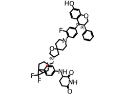 O=C1CCC(Nc2ccc(C34CCN(C[C@@H]5COC6(CCN(c7ccc([C@H]8c9ccc(O)cc9OC[C@H]8c8ccccc8)cc7F)CC6)C5)CC3C4(F)F)cc2)C(=O)N1